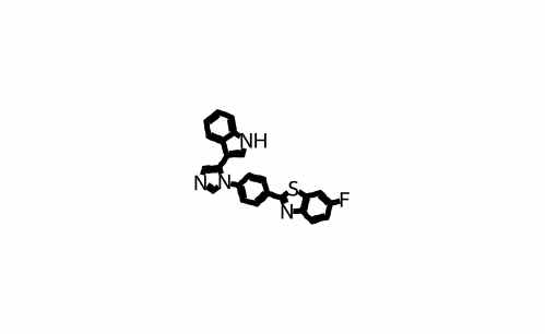 Fc1ccc2nc(-c3ccc(-n4cncc4-c4c[nH]c5ccccc45)cc3)sc2c1